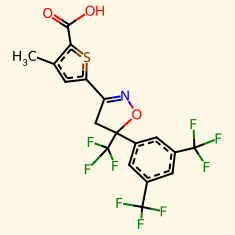 Cc1cc(C2=NOC(c3cc(C(F)(F)F)cc(C(F)(F)F)c3)(C(F)(F)F)C2)sc1C(=O)O